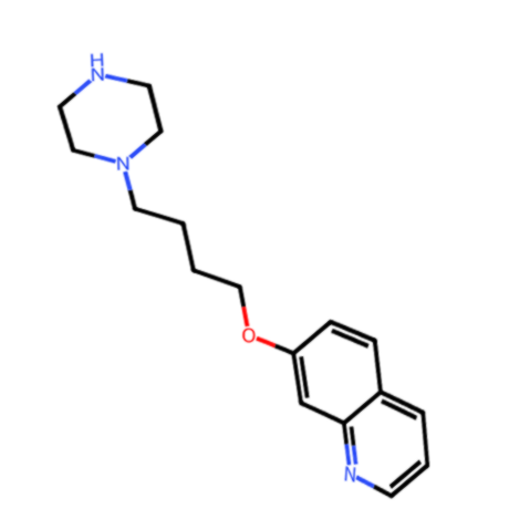 c1cnc2cc(OCCCCN3CCNCC3)ccc2c1